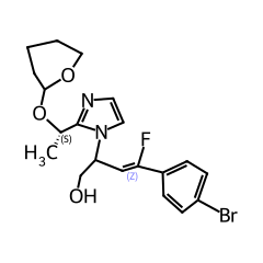 C[C@H](OC1CCCCO1)c1nccn1C(/C=C(\F)c1ccc(Br)cc1)CO